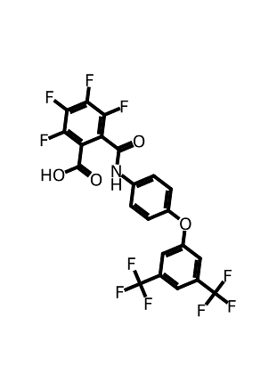 O=C(O)c1c(F)c(F)c(F)c(F)c1C(=O)Nc1ccc(Oc2cc(C(F)(F)F)cc(C(F)(F)F)c2)cc1